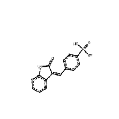 O=C1Nc2ncccc2C1=Cc1ccc(P(=O)(O)O)cc1